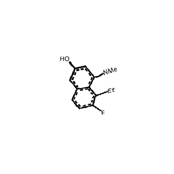 CCc1c(F)ccc2cc(O)cc(NC)c12